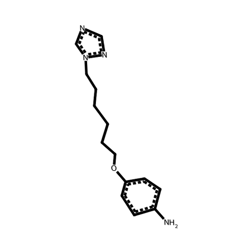 Nc1ccc(OCCCCCCn2cncn2)cc1